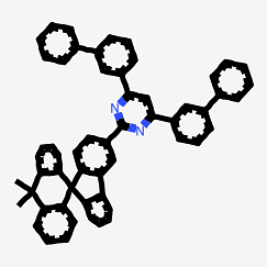 CC1(C)c2ccccc2C2(c3ccccc3-c3cc(-c4nc(-c5cccc(-c6ccccc6)c5)cc(-c5cccc(-c6ccccc6)c5)n4)ccc32)c2ccccc21